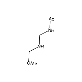 COCNCNC(C)=O